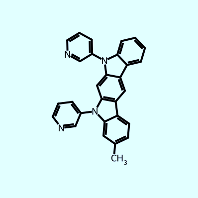 Cc1ccc2c3cc4c5ccccc5n(-c5cccnc5)c4cc3n(-c3cccnc3)c2c1